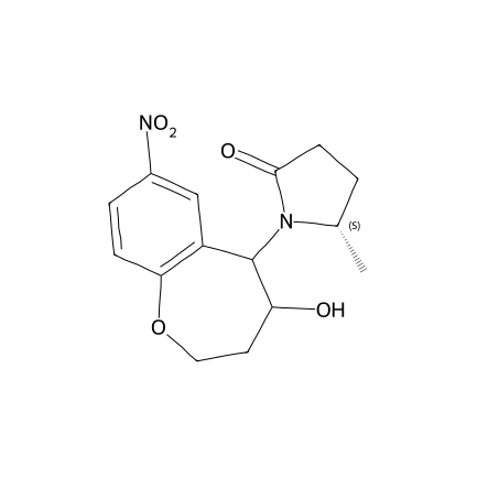 C[C@H]1CCC(=O)N1C1c2cc([N+](=O)[O-])ccc2OCCC1O